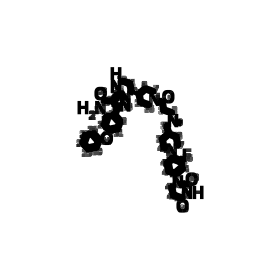 CN(CCC(=O)N1CCC([C@@H]2CCNc3c(C(N)=O)c(-c4ccc(Oc5ccccc5)cc4)nn32)CC1)CC1CCN(c2ccc(N3CCC(=O)NC3=O)cc2F)CC1